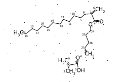 C=C(C)C(=O)O.C=C(CCCCCCCCCCCCC)C(=O)OCCCCC